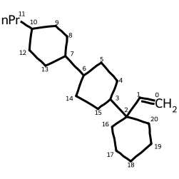 C=CC1(C2CCC(C3CCC(CCC)CC3)CC2)CCCCC1